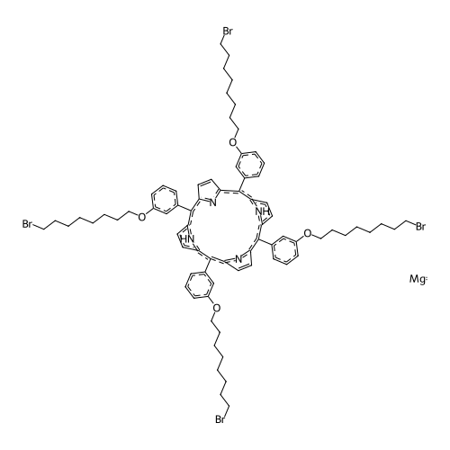 BrCCCCCCCCOc1cccc(-c2c3nc(c(-c4cccc(OCCCCCCCCBr)c4)c4ccc([nH]4)c(-c4cccc(OCCCCCCCCBr)c4)c4nc(c(-c5cccc(OCCCCCCCCBr)c5)c5ccc2[nH]5)C=C4)C=C3)c1.[Mg]